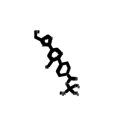 CC(C)(C)OC(=O)N1CC=C(c2ncc(-c3nc(CO)co3)cc2Cl)CC1